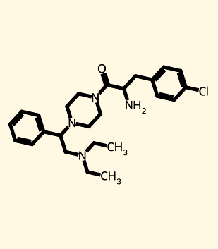 CCN(CC)CC(c1ccccc1)N1CCN(C(=O)C(N)Cc2ccc(Cl)cc2)CC1